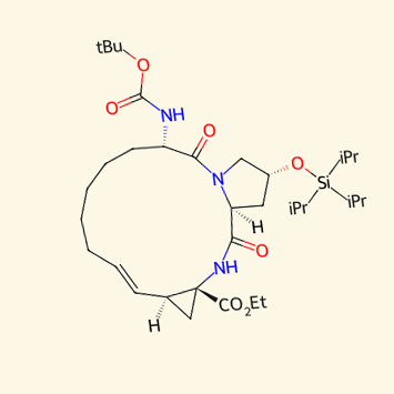 CCOC(=O)[C@@]12C[C@H]1/C=C/CCCCC[C@H](NC(=O)OC(C)(C)C)C(=O)N1C[C@H](O[Si](C(C)C)(C(C)C)C(C)C)C[C@H]1C(=O)N2